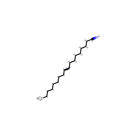 CCCCCCCC/C=C/CCCCCCCC#N